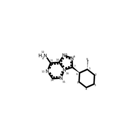 C[C@@H]1CCCC[C@H]1c1nnc2c(N)ncnn12